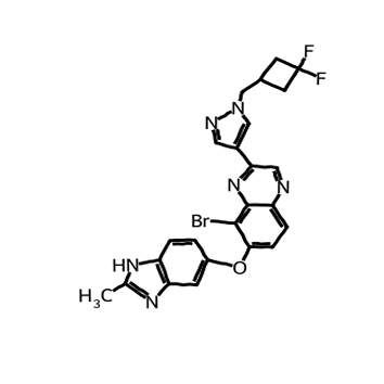 Cc1nc2cc(Oc3ccc4ncc(-c5cnn(CC6CC(F)(F)C6)c5)nc4c3Br)ccc2[nH]1